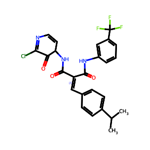 CC(C)c1ccc(/C=C(\C(=O)Nc2cccc(C(F)(F)F)c2)C(=O)NC2C=CN=C(Cl)C2=O)cc1